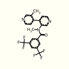 Cc1cnccc1-c1ccncc1N(C)C(=O)c1cc(C(F)(F)F)cc(C(F)(F)F)c1